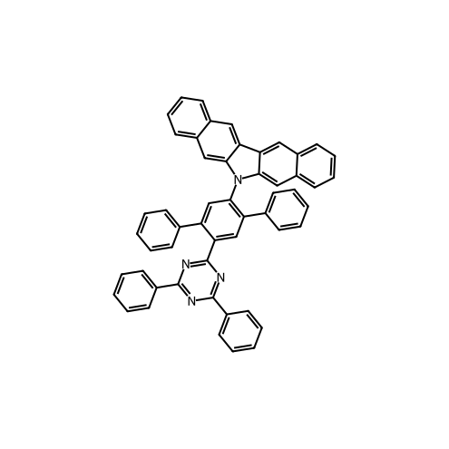 c1ccc(-c2nc(-c3ccccc3)nc(-c3cc(-c4ccccc4)c(-n4c5cc6ccccc6cc5c5cc6ccccc6cc54)cc3-c3ccccc3)n2)cc1